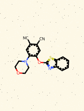 N#Cc1cc(Oc2nc3ccccc3s2)c(N2CCOCC2)cc1C#N